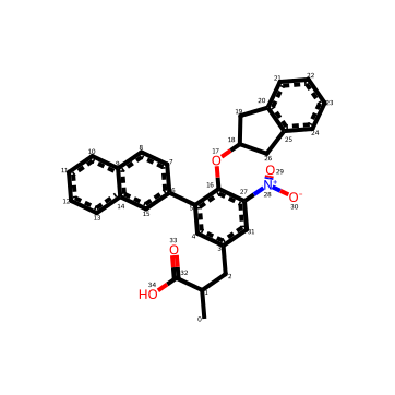 CC(Cc1cc(-c2ccc3ccccc3c2)c(OC2Cc3ccccc3C2)c([N+](=O)[O-])c1)C(=O)O